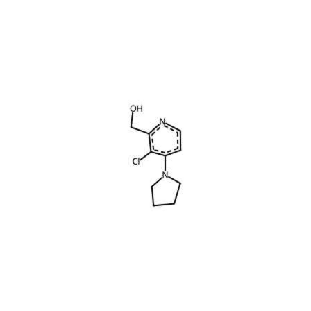 OCc1nccc(N2CCCC2)c1Cl